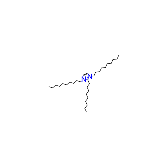 CCCCCCCCCCn1cc[n+](CCCCCCCCCC)c1CCCCCCCCC